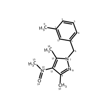 Cc1cccc(Cn2nc(C)c([N+](C)=O)c2C)c1